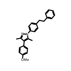 COc1ccc(-c2c(C)nn(-c3ccc(CCc4ccccc4)cc3)c2C)cc1